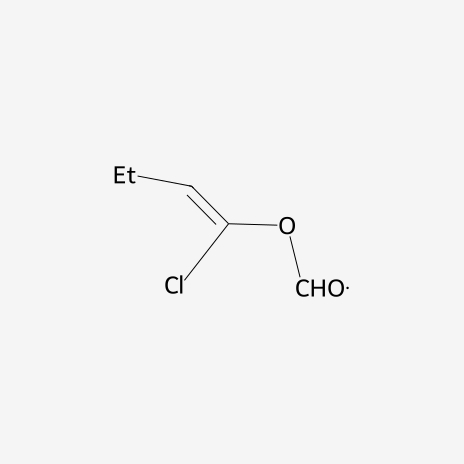 CCC=C(Cl)O[C]=O